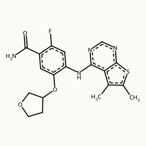 Cc1sc2ncnc(Nc3cc(F)c(C(N)=O)cc3OC3CCOC3)c2c1C